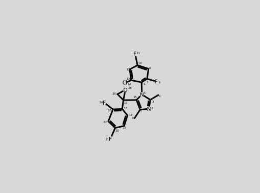 Cc1nc(C)n(-c2c(F)cc(F)cc2Cl)c1C1(c2ccc(F)cc2F)CO1